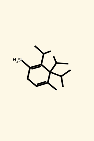 CC1=CCC([SiH3])=C(C(C)C)C1(C(C)C)C(C)C